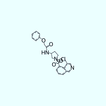 O=C(COc1ccccc1)NC1CCN(S(=O)(=O)c2cccc3cncc(Cl)c23)C1